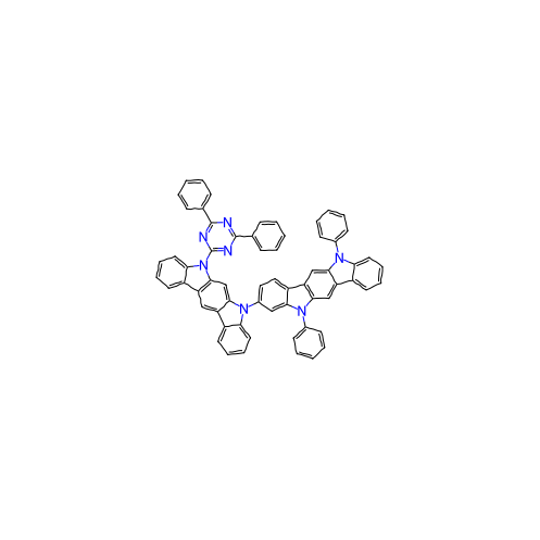 c1ccc(-c2nc(-c3ccccc3)nc(-n3c4ccccc4c4cc5c6ccccc6n(-c6ccc7c8cc9c(cc8n(-c8ccccc8)c7c6)c6ccccc6n9-c6ccccc6)c5cc43)n2)cc1